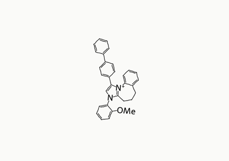 COc1ccccc1-n1cc(-c2ccc(-c3ccccc3)cc2)[n+]2c1CCCc1ccccc1-2